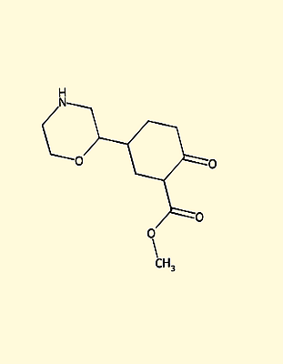 COC(=O)C1CC(C2CNCCO2)CCC1=O